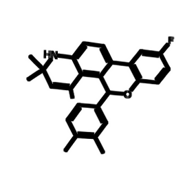 CC1=CC(C)(C)Nc2ccc3c(c21)C(c1ccc(C)c(C)c1)Oc1ccc(F)cc1-3